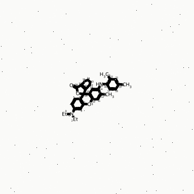 CCN(CC)c1ccc2c(c1)Oc1cc(C)c(Nc3ccc(C)cc3C)cc1C21OC(=O)C2=C1CCCC2